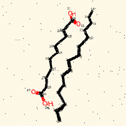 CCCCCCCCCCCCCCC.O=C(O)CCCCCCCCC(=O)O